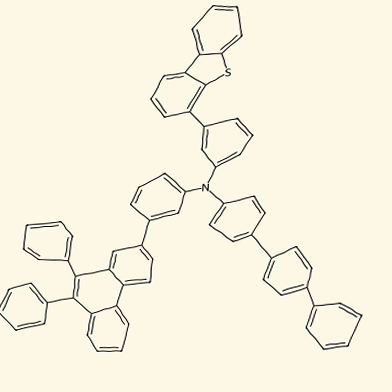 c1ccc(-c2ccc(-c3ccc(N(c4cccc(-c5ccc6c(c5)c(-c5ccccc5)c(-c5ccccc5)c5ccccc56)c4)c4cccc(-c5cccc6c5sc5ccccc56)c4)cc3)cc2)cc1